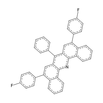 Fc1ccc(-c2cc3c(-c4ccccc4)c4cc(-c5ccc(F)cc5)c5ccccc5c4nc3c3ccccc23)cc1